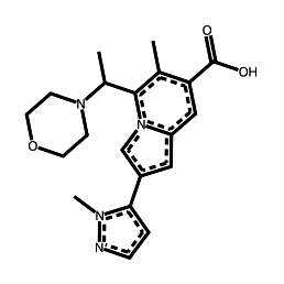 Cc1c(C(=O)O)cc2cc(-c3ccnn3C)cn2c1C(C)N1CCOCC1